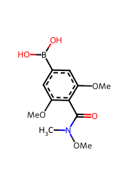 COc1cc(B(O)O)cc(OC)c1C(=O)N(C)OC